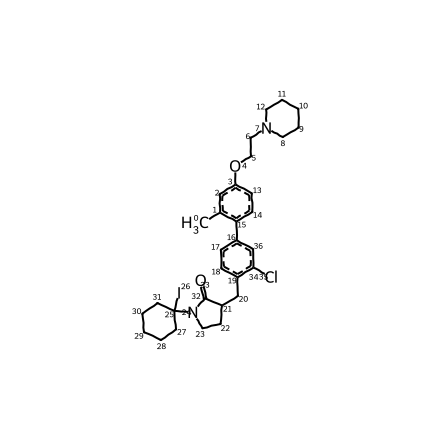 Cc1cc(OCCN2CCCCC2)ccc1-c1ccc(CC2CCN(C3(I)CCCCC3)C2=O)c(Cl)c1